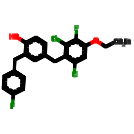 CCOC(=O)COc1cc(Cl)c(Cc2ccc(O)c(Cc3ccc(F)cc3)c2)c(Cl)c1F